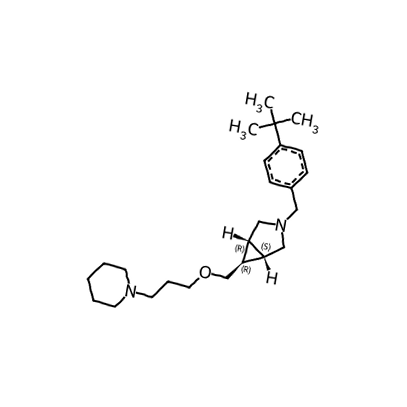 CC(C)(C)c1ccc(CN2C[C@@H]3[C@@H](COCCCN4CCCCC4)[C@@H]3C2)cc1